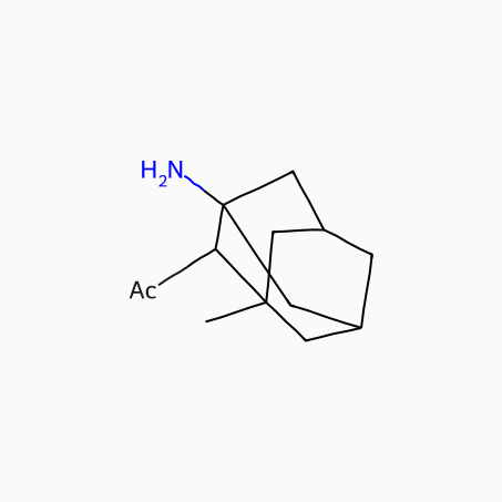 CC(=O)C1C2(C)CC3CC(C2)CC1(N)C3